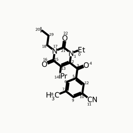 CCn1c(C(=O)c2cc(C)cc(C#N)c2)c(C(C)C)c(=O)n(CCI)c1=O